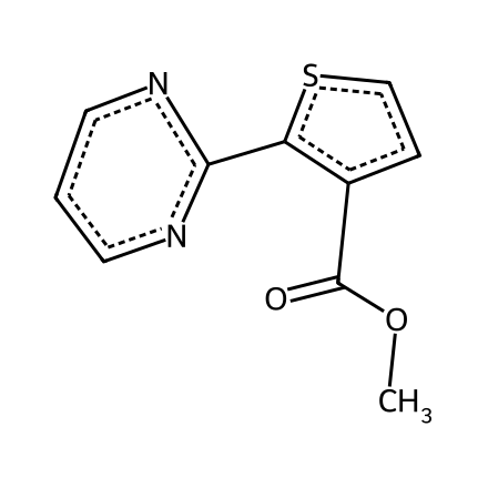 COC(=O)c1ccsc1-c1ncccn1